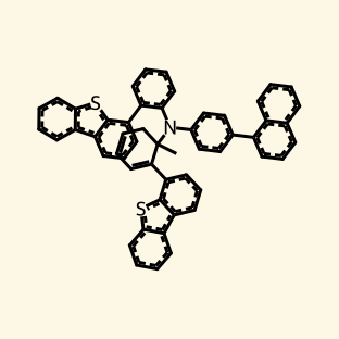 CC1(N(c2ccc(-c3cccc4ccccc34)cc2)c2ccccc2-c2cccc3c2sc2ccccc23)CC=CC=C1c1cccc2c1sc1ccccc12